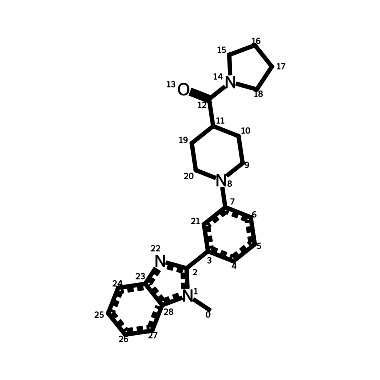 Cn1c(-c2cccc(N3CCC(C(=O)N4CCCC4)CC3)c2)nc2ccccc21